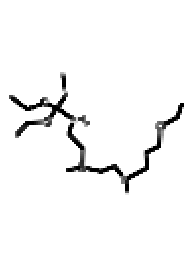 CCOCCCN(C)CCN(C)CC[SiH2]C(CC)(OCC)OCC